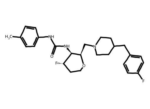 Cc1ccc(NC(=O)N[C@@H]2[C@@H](F)CCO[C@@H]2CN2CCC(Cc3ccc(F)cc3)CC2)cc1